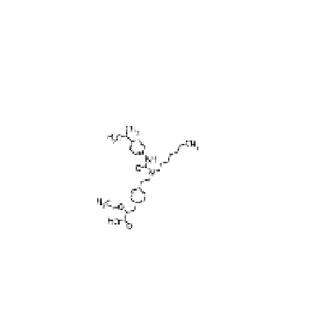 CCCCCCCN(CCc1ccc(CC(OCC)C(=O)O)cc1)C(=O)Nc1ccc(C(C)C)cc1